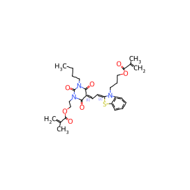 C=C(C)C(=O)OCCCN1/C(=C/C=C2\C(=O)N(CCCC)C(=O)N(CCOC(=O)C(=C)C)C2=O)Sc2ccccc21